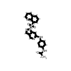 CC(=O)Nc1ccc(Nc2cc3c(cn2)cnn3S(=O)(=O)c2cccc3cccnc23)cc1